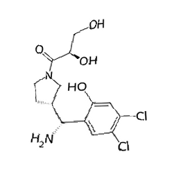 N[C@@H](c1cc(Cl)c(Cl)cc1O)[C@@H]1CCN(C(=O)[C@H](O)CO)C1